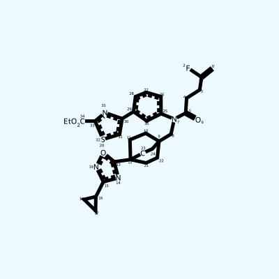 C=C(F)CCC(=O)N(CC12CCC(c3nc(C4CC4)no3)(CC1)CC2)c1cccc(-c2csc(C(=O)OCC)n2)c1